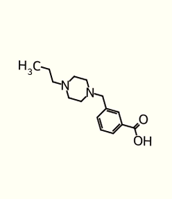 CCCN1CCN(Cc2cccc(C(=O)O)c2)CC1